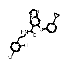 O=C(NCCc1ccc(Cl)cc1Cl)c1cn2ccnc2cc1Oc1cccc(C2CC2)c1